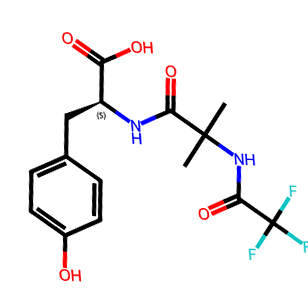 CC(C)(NC(=O)C(F)(F)F)C(=O)N[C@@H](Cc1ccc(O)cc1)C(=O)O